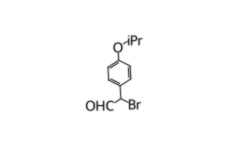 CC(C)Oc1ccc(C(Br)C=O)cc1